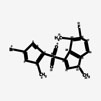 Cc1cc(Br)ccc1S(=O)(=O)c1cn(C)c2ccc(F)c(C)c12